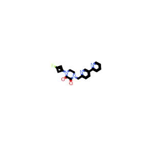 O=C1C(=O)N(C23CC(F)(C2)C3)CCN1Cc1ccc(-c2ccccn2)cn1